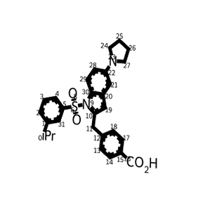 CC(C)c1cccc(S(=O)(=O)n2c(Cc3ccc(C(=O)O)cc3)cc3cc(N4CCCC4)ccc32)c1